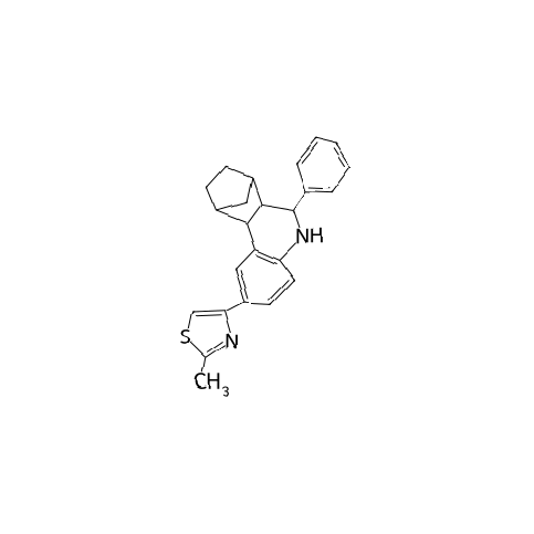 Cc1nc(-c2ccc3c(c2)C2C4CCC(C4)C2C(c2ccccc2)N3)cs1